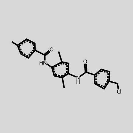 Cc1ccc(C(=O)Nc2cc(C)c(NC(=O)c3ccc(CCl)cc3)cc2C)cc1